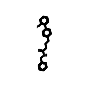 O=C(CCCc1ccc(-c2ccccc2F)cc1)NCc1ccccn1